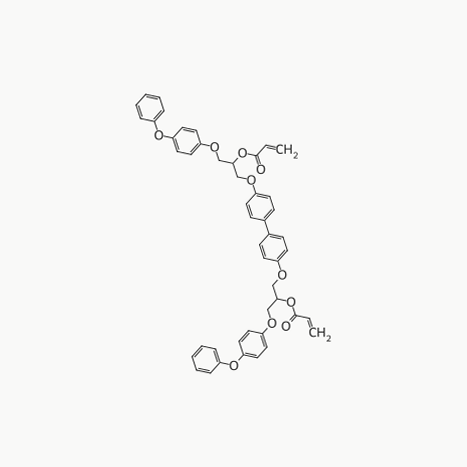 C=CC(=O)OC(COc1ccc(Oc2ccccc2)cc1)COc1ccc(-c2ccc(OCC(COc3ccc(Oc4ccccc4)cc3)OC(=O)C=C)cc2)cc1